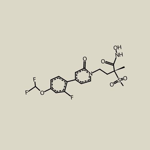 C[C@@](CCn1ccc(-c2ccc(OC(F)F)cc2F)cc1=O)(C(=O)NO)S(C)(=O)=O